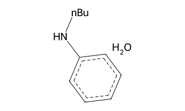 CCCCNc1ccccc1.O